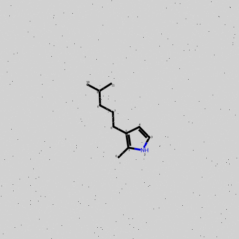 Cc1[nH]ccc1CCCC(C)C